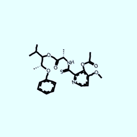 COc1ccnc(C(=S)N[C@@H](C)C(=O)OC(C(C)C)[C@@H](C)Oc2ccccc2)c1OC(C)=O